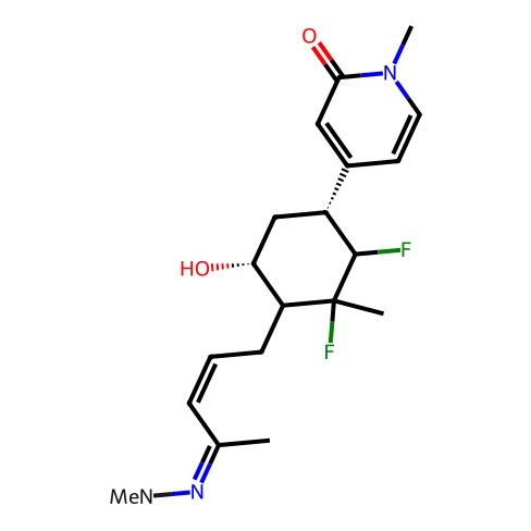 CN/N=C(C)\C=C/CC1[C@H](O)C[C@H](c2ccn(C)c(=O)c2)C(F)C1(C)F